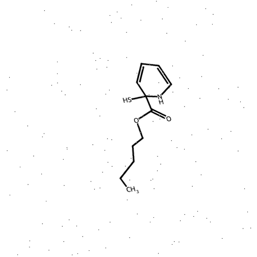 CCCCCOC(=O)C1(S)C=CC=CN1